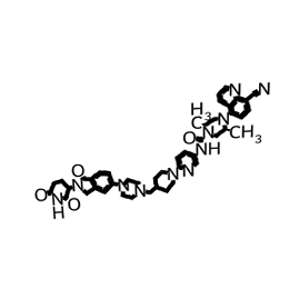 C[C@@H]1CN(c2ccc(C#N)c3ncccc23)[C@@H](C)CN1C(=O)Nc1ccc(N2CCC(CN3CCN(c4ccc5c(c4)CN(C4CCC(=O)NC4=O)C5=O)CC3)CC2)nc1